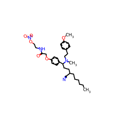 CCCCCCC(C#N)CCC(c1ccc(OCC(=O)NCCO[N+](=O)[O-])cc1)N(C)CCc1ccc(OC)cc1